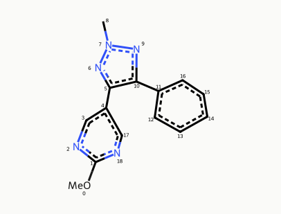 COc1ncc(-c2nn(C)nc2-c2ccccc2)cn1